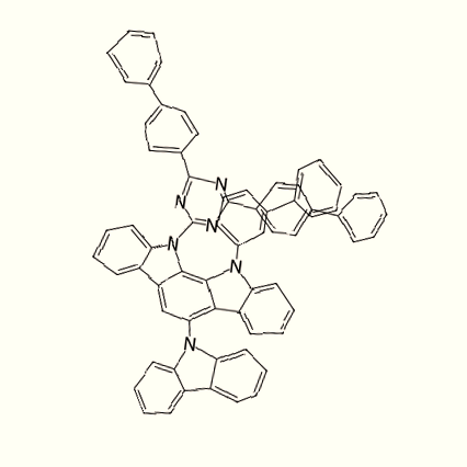 c1ccc(-c2ccc(-c3nc(-c4ccc(-c5ccccc5)cc4)nc(-n4c5ccccc5c5cc(-n6c7ccccc7c7ccccc76)c6c7ccccc7n(-c7cccc(-c8ccccc8)c7)c6c54)n3)cc2)cc1